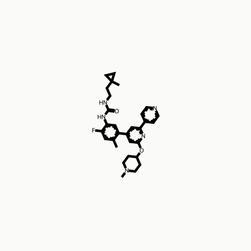 Cc1cc(F)c(NC(=O)NCCC2(C)CC2)cc1-c1cc(OC2CCN(C)CC2)nc(-c2ccncc2)c1